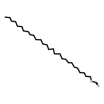 CCCCCCCCCCCCCCCCCCCCCCCCCCCCOC=O